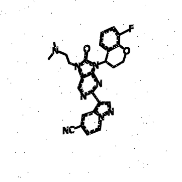 CN(C)CCn1c(=O)n(C2CCOc3c(F)cccc32)c2nc(-c3cnn4ccc(C#N)cc34)ncc21